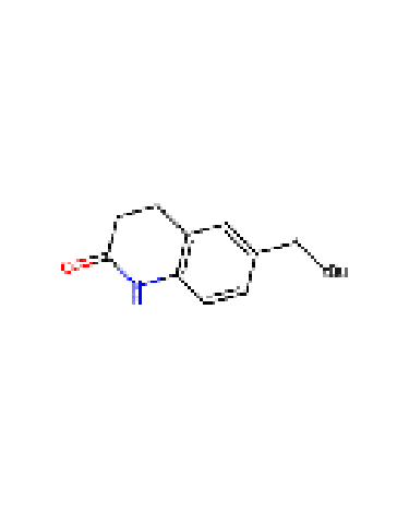 CC(C)(C)[CH]c1ccc2c(c1)CCC(=O)N2